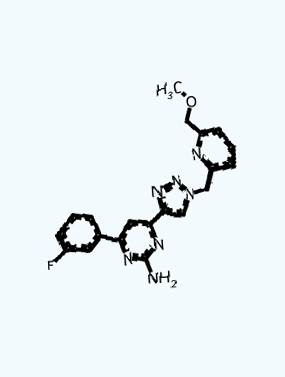 COCc1cccc(Cn2cc(-c3cc(-c4cccc(F)c4)nc(N)n3)nn2)n1